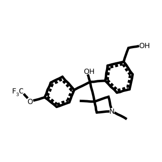 CN1CC(C)(C(O)(c2ccc(OC(F)(F)F)cc2)c2cccc(CO)c2)C1